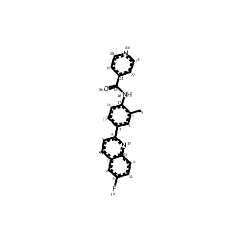 Cc1cc(-c2ccc3cc(F)ccc3n2)ccc1NC(=O)c1ccncc1